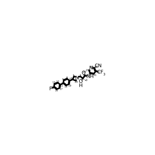 C[C@](O)(CN1CC(c2ccc(-c3ccc(F)cc3)cc2)C1)C(=O)Nc1cnc(C#N)c(C(F)(F)F)c1